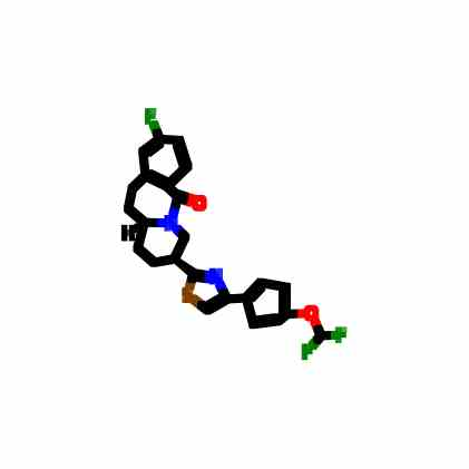 O=C1c2ccc(F)cc2CC[C@@H]2CC[C@H](c3nc(-c4ccc(OC(F)F)cc4)cs3)CN12